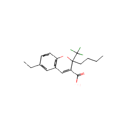 CCCCC1(C(F)(F)F)Oc2ccc(CC)cc2C=C1C(=O)O